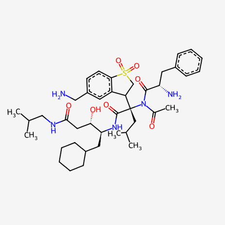 CC(=O)N(C(=O)[C@@H](N)Cc1ccccc1)[C@](CC(C)C)(C(=O)N[C@@H](CC1CCCCC1)[C@@H](O)CC(=O)NCC(C)C)C1CS(=O)(=O)c2ccc(CN)cc21